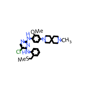 COc1cc(N2CCC3(CCN(C)CC3)CC2)ccc1Nc1ncc(Cl)c(Nc2ccccc2CSC)n1